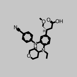 CCN(c1ccc([C@H](COC)CC(=O)O)cc1Nc1ccc(C#N)cc1)C1CCOCC1